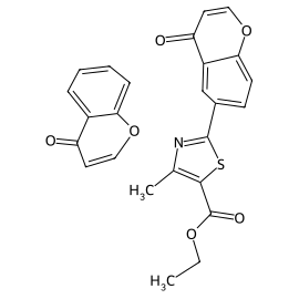 CCOC(=O)c1sc(-c2ccc3occc(=O)c3c2)nc1C.O=c1ccoc2ccccc12